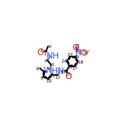 CC(=O)NCCn1c(C)ccc1CNC(=O)c1ccc([N+](=O)[O-])cc1